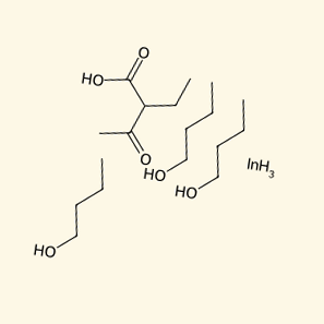 CCC(C(C)=O)C(=O)O.CCCCO.CCCCO.CCCCO.[InH3]